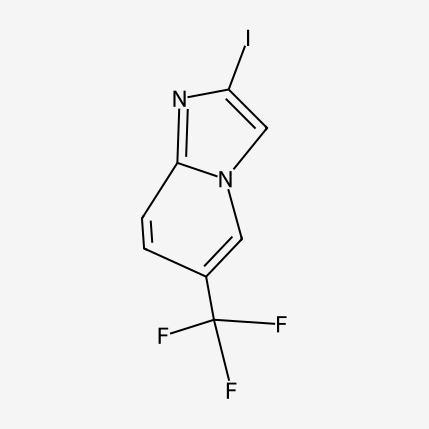 FC(F)(F)c1ccc2nc(I)cn2c1